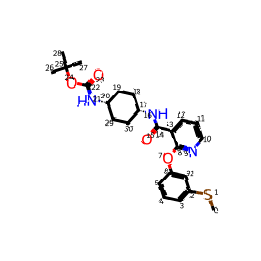 CSc1cccc(Oc2ncccc2C(=O)N[C@H]2CC[C@@H](NC(=O)OC(C)(C)C)CC2)c1